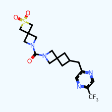 O=C(N1CC2(CC(Cc3cnc(C(F)(F)F)cn3)C2)C1)N1CC2(C1)CS(=O)(=O)C2